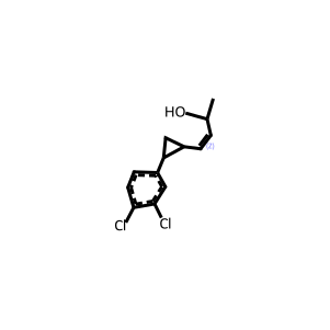 CC(O)/C=C\C1CC1c1ccc(Cl)c(Cl)c1